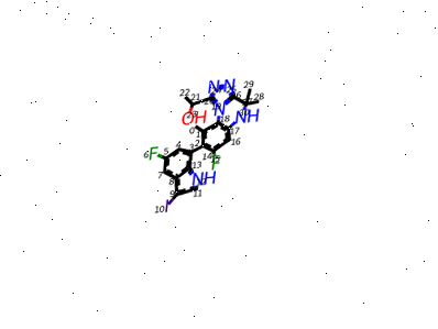 Cc1c(-c2cc(F)cc3c(I)c[nH]c23)c(F)cc2c1-n1c(C(C)O)nnc1C(C)(C)N2